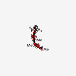 COc1ccc(C2=CN3C(=O)c4cc(OC)c(OCCCOc5cc6c(cc5OC)C(=O)N5C=C(c7ccc(NC(=O)[C@H](C)NC(=O)[C@@H](N)C(C)C)cc7)C[C@H]5C=N6)cc4N=C[C@@H]3C2)cc1F